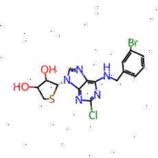 OC1CS[C@@H](n2cnc3c(NCc4cccc(Br)c4)nc(Cl)nc32)C1O